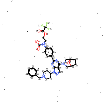 O=C(O)N(CCOC(=O)C(F)(F)F)c1ccc(-c2nc(N3CC4CCC(C3)O4)c3cnn(C4CCN(Cc5ccccc5)CC4)c3n2)cc1